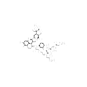 CC[C@@]1(O)C(=O)OCc2c1cc1n(c2=O)Cc2c-1nc1cc(F)c(C)c3c1c2[C@@H](NC(=O)COCCN(CC(N)=O)C(=O)[C@H](Cc1ccccc1)NC(=O)CNC(=O)CN)CC3